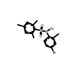 CC(=O)N(c1ccc(Br)cc1I)S(=O)(=O)c1c(C)cc(C)cc1C